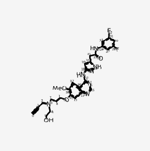 C#CCN(CCO)CCCOc1cc2ncnc(Nc3cc(CC(=O)Nc4cc(F)cc(F)c4)[nH]n3)c2cc1OC